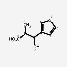 C[C@H](C(=O)O)C(O)c1ccsc1